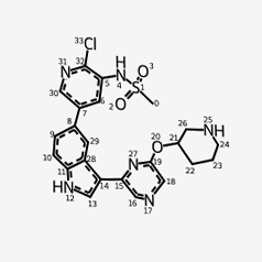 CS(=O)(=O)Nc1cc(-c2ccc3[nH]cc(-c4cncc(OC5CCCNC5)n4)c3c2)cnc1Cl